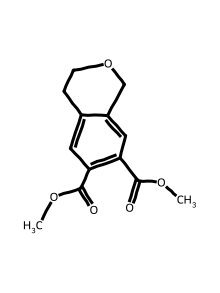 COC(=O)c1cc2c(cc1C(=O)OC)COCC2